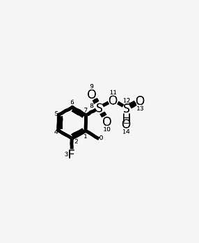 Cc1c(F)cccc1S(=O)(=O)O[SH](=O)=O